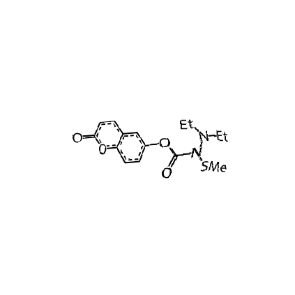 CCN(CC)N(SC)C(=O)Oc1ccc2oc(=O)ccc2c1